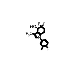 Cc1cc(-n2cc(C(F)(F)F)c3c2CCC(F)(F)[C@H]3O)ccc1F